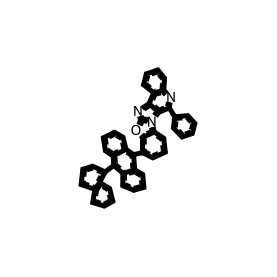 c1ccc(-c2nc3ccccc3c3nc4oc5c(-c6c7ccccc7c(-c7cccc8ccccc78)c7ccccc67)cccc5n4c23)cc1